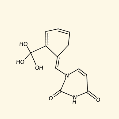 O=c1ccn(C=C2CC=CC=C2C(O)(O)O)c(=O)[nH]1